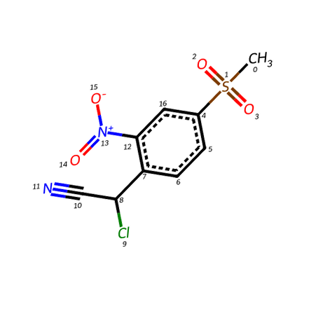 CS(=O)(=O)c1ccc(C(Cl)C#N)c([N+](=O)[O-])c1